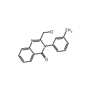 Cc1cccc(-n2c(CCl)nc3ccccc3c2=O)c1